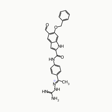 C/C(=N\NC(=N)N)c1ccc(NC(=O)c2cc3cc(C=O)c(OCc4ccccc4)cc3[nH]2)cc1